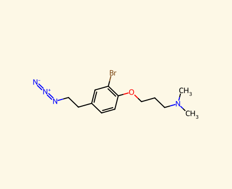 CN(C)CCCOc1ccc(CCN=[N+]=[N-])cc1Br